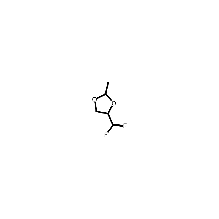 CC1OCC(C(F)F)O1